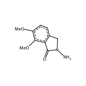 COc1ccc2c(c1OC)C(=O)N(N)C2